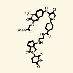 CNC(=O)COc1cc2cc(Nc3nc(N4CCC(C(=O)NCCNc5cccc6c5CN(C5CCC(=O)NC5=O)C6=O)CC4)ncc3Cl)ccc2n(C)c1=O